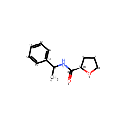 CC(NC(=O)[C@H]1CCCO1)c1ccccc1